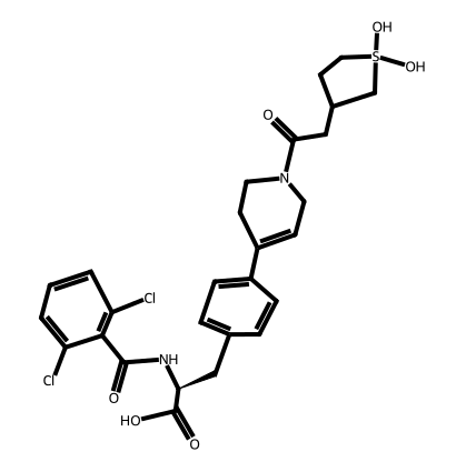 O=C(N[C@@H](Cc1ccc(C2=CCN(C(=O)CC3CCS(O)(O)C3)CC2)cc1)C(=O)O)c1c(Cl)cccc1Cl